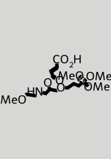 COCCNCC(COCCC[Si](OC)(OC)OC)OC(=O)C=CC(=O)O